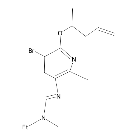 C=CCC(C)Oc1nc(C)c(/N=C/N(C)CC)cc1Br